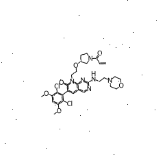 C=CC(=O)N1CCC(OCCn2c(=O)c(-c3c(Cl)c(OC)cc(OC)c3Cl)cc3cnc(NCCN4CCOCC4)nc32)C1